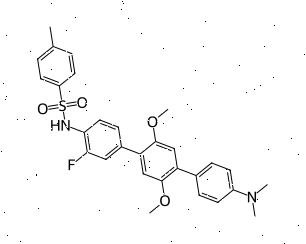 COc1cc(-c2ccc(NS(=O)(=O)c3ccc(C)cc3)c(F)c2)c(OC)cc1-c1ccc(N(C)C)cc1